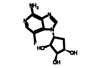 Nc1ncc(F)c2c1ncn2[C@@H]1C[C@H](O)[C@@H](O)[C@H]1O